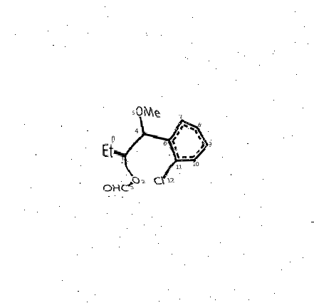 CCC(OC=O)C(OC)c1ccccc1Cl